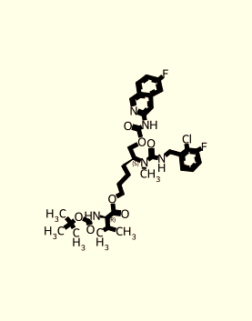 CC(C)[C@@H](NC(=O)OC(C)(C)C)C(=O)OCCCC[C@@H](COC(=O)Nc1cc2cc(F)ccc2cn1)N(C)C(=O)NCc1cccc(F)c1Cl